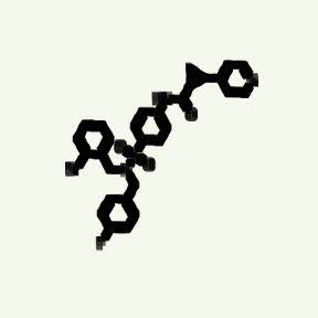 O=C(Nc1ccc(S(=O)(=O)N(Cc2ccc(F)cc2)Cc2ccccc2Br)cc1)C1CC1c1ccncc1